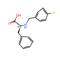 O=C(O)[C@H](Cc1ccccc1)NCc1ccc(F)cc1